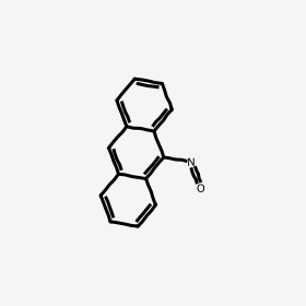 O=Nc1c2ccccc2cc2ccccc12